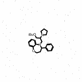 CC(C)COCC(CN1c2ccccc2OCCC1c1ccccc1)N1CCCC1